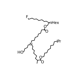 CCCCCCC(CCCCCCCCF)COC(=O)CCCCCCCN(CCCCO)CCCCCCC(C)C(=O)OCCCCCCCCC(C)C